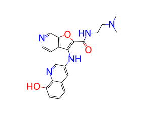 CN(C)CCNC(=O)c1oc2cnccc2c1Nc1cnc2c(O)cccc2c1